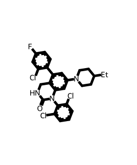 CCC1CCN(c2cc(-c3ccc(F)cc3Cl)c3c(c2)N(c2c(Cl)cccc2Cl)C(=O)NC3)CC1